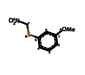 COc1cccc(SC[N+](=O)[O-])c1